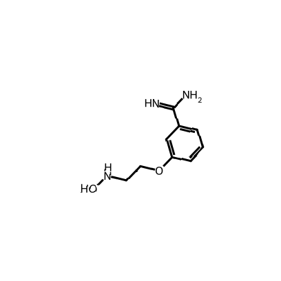 N=C(N)c1cccc(OCCNO)c1